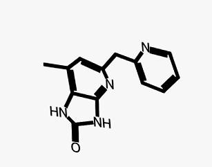 Cc1cc(Cc2ccccn2)nc2[nH]c(=O)[nH]c12